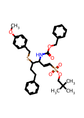 COc1ccc(CSC(CCc2ccccc2)C(C=CS(=O)(=O)OCC(C)(C)C)NC(=O)OCc2ccccc2)cc1